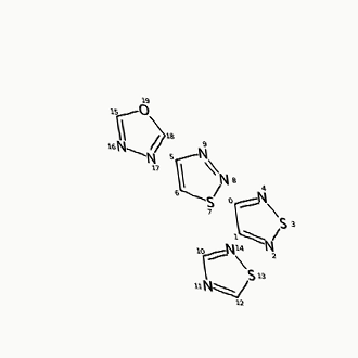 c1cnsn1.c1csnn1.c1ncsn1.c1nnco1